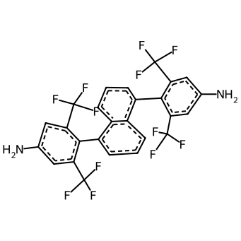 Nc1cc(C(F)(F)F)c(-c2cccc3c(-c4c(C(F)(F)F)cc(N)cc4C(F)(F)F)cccc23)c(C(F)(F)F)c1